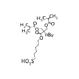 C=C(C)C(=O)OCC(CCCC)(COC(=O)C(=C)C)C(=O)OCCCCCCS(=O)(=O)O